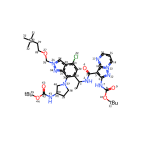 CC(NC(=O)c1c(NC(=O)OC(C)(C)C)nn2cccnc12)c1cc(Cl)c2cn(COCC[Si](C)(C)C)nc2c1N1CC[C@@H](NC(=O)OC(C)(C)C)C1